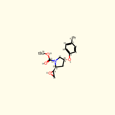 CC(C)c1ccc(O[C@@H]2C[C@@H](C3CO3)N(C(=O)OC(C)(C)C)C2)cc1